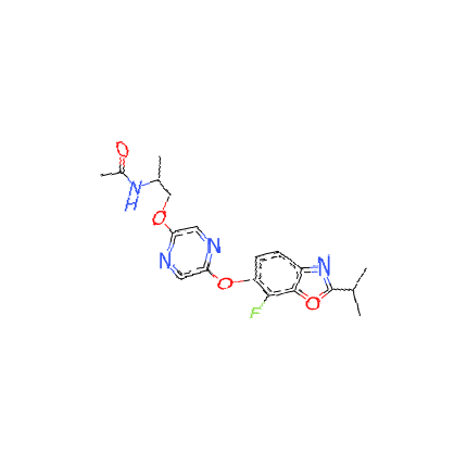 CC(=O)NC(C)COc1cnc(Oc2ccc3nc(C(C)C)oc3c2F)cn1